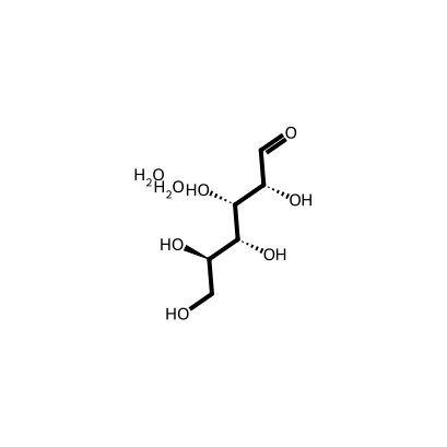 O.O.O=C[C@H](O)[C@@H](O)[C@H](O)[C@H](O)CO